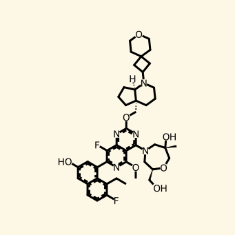 CCc1c(F)ccc2cc(O)cc(-c3nc(OC)c4c(N5C[C@H](CO)OC[C@@](C)(O)C5)nc(OC[C@]56CCC[C@H]5N(C5CC7(CCOCC7)C5)CCC6)nc4c3F)c12